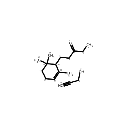 C#CCO.CCC(=O)CCC1C(C)=CCCC1(C)C